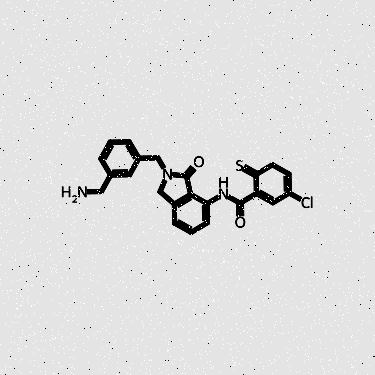 NCc1cccc(CN2Cc3cccc(NC(=O)C4=CC(Cl)=CCC4=S)c3C2=O)c1